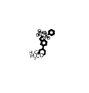 CC1(C)CC(c2ccc3c(c2)cc(S(=O)(=O)Cl)n3S(=O)(=O)c2ccccc2)CCO1